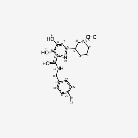 O=CN1CCCC(c2nc(O)c(O)c(C(=O)NCc3ccc(F)cc3)n2)C1